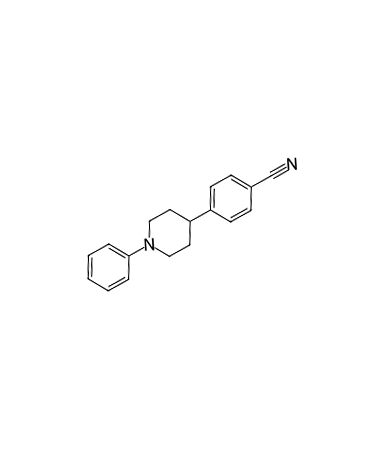 N#Cc1ccc(C2CCN(c3ccccc3)CC2)cc1